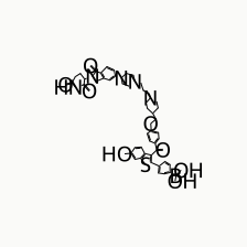 O=C1CCC(N2Cc3cc(N4CCN(CCCN5CCC(COc6ccc(C(=O)c7c(-c8ccc(B(O)O)cc8)sc8cc(O)ccc78)cc6)CC5)CC4)ccc3C2=O)C(=O)N1